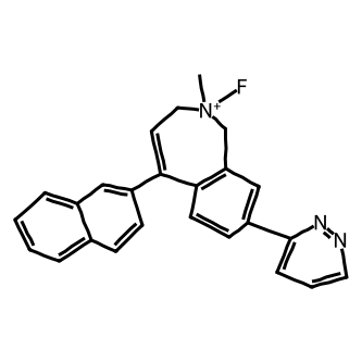 C[N+]1(F)CC=C(c2ccc3ccccc3c2)c2ccc(-c3cccnn3)cc2C1